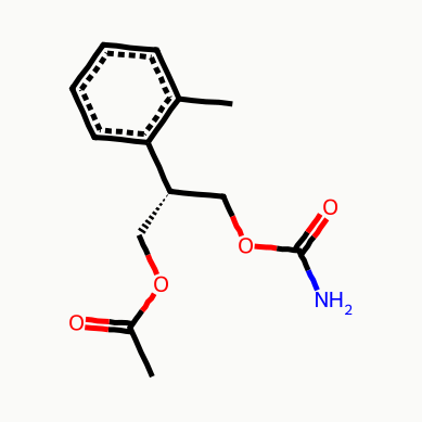 CC(=O)OC[C@@H](COC(N)=O)c1ccccc1C